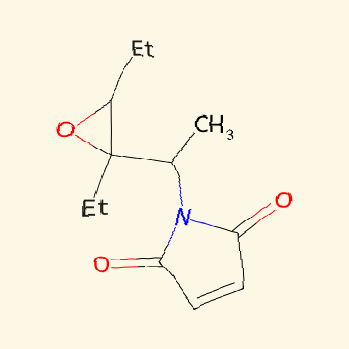 CCC1OC1(CC)C(C)N1C(=O)C=CC1=O